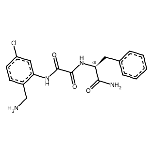 NCc1ccc(Cl)cc1NC(=O)C(=O)N[C@@H](Cc1ccccc1)C(N)=O